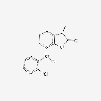 CC1C(=O)Oc2c1cccc2[S+]([O-])c1ccccc1Cl